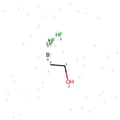 CCO.F.F.F.[B]